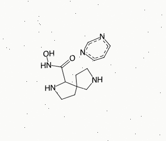 O=C(NO)C1NCCC12CCNC2.c1cncnc1